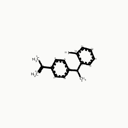 C=C(C)c1ccc(C(C)c2ccccc2I)cc1